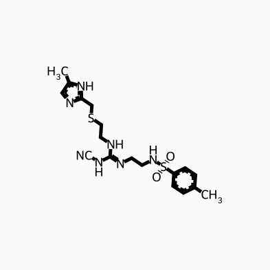 Cc1ccc(S(=O)(=O)NCCN=C(NC#N)NCCSCc2ncc(C)[nH]2)cc1